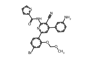 COCOc1cc(Br)ccc1-c1cc(-c2cccc(N)c2)c(C#N)c(NC(=O)c2cccs2)n1